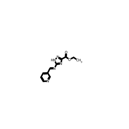 CCOC(=O)c1n[nH]c(N=Cc2cccnc2)n1